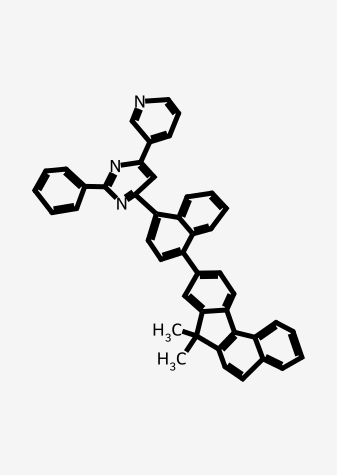 CC1(C)c2cc(-c3ccc(-c4cc(-c5cccnc5)nc(-c5ccccc5)n4)c4ccccc34)ccc2-c2c1ccc1ccccc21